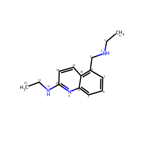 CCNCc1cccc2nc(NCC)ccc12